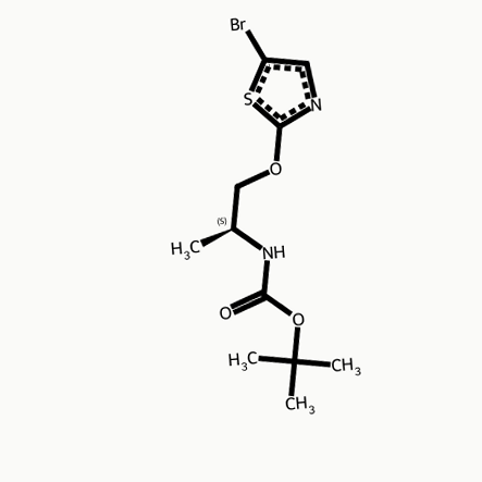 C[C@@H](COc1ncc(Br)s1)NC(=O)OC(C)(C)C